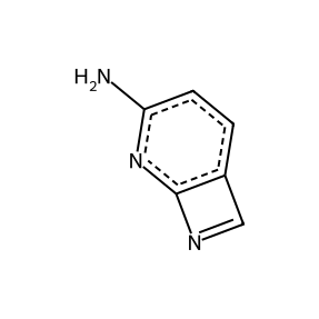 Nc1ccc2c(n1)N=C2